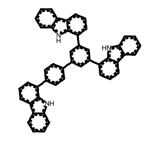 c1ccc2c(c1)[nH]c1c(-c3ccc(-c4cc(-c5cccc6c5[nH]c5ccccc56)cc(-c5cccc6c5[nH]c5ccccc56)c4)cc3)cccc12